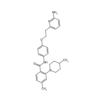 Cc1ccc(C(=O)Nc2ccc(OCCc3cccc(N)n3)cc2)c(N2CCC(C)CC2)c1